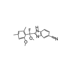 COc1cc(C)cc(C)c1C(F)(OC)c1nc2cc(C#N)ccc2[nH]1